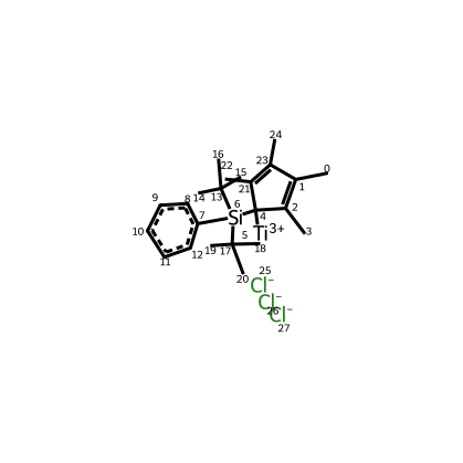 CC1=C(C)[C]([Ti+3])([Si](c2ccccc2)(C(C)(C)C)C(C)(C)C)C(C)=C1C.[Cl-].[Cl-].[Cl-]